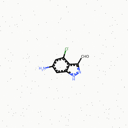 Nc1cc(Cl)c2c(C=O)n[nH]c2c1